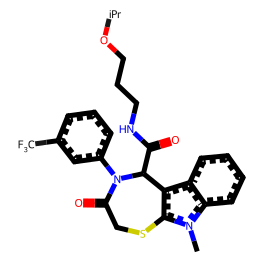 CC(C)OCCCNC(=O)C1c2c(n(C)c3ccccc23)SCC(=O)N1c1cccc(C(F)(F)F)c1